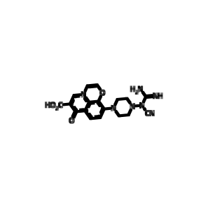 N#CN(C(=N)N)N1CCN(c2ccc3c(=O)c(C(=O)O)cn4c3c2OC=C4)CC1